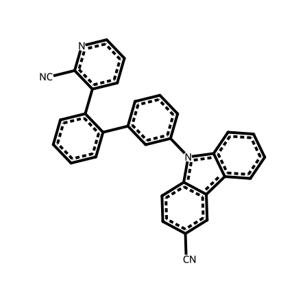 N#Cc1ccc2c(c1)c1ccccc1n2-c1cccc(-c2ccccc2-c2cccnc2C#N)c1